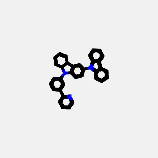 C1=CC2c3cc(-n4c5ccccc5c5ccccc54)ccc3N(c3cccc(-c4ccccn4)c3)C2C=C1